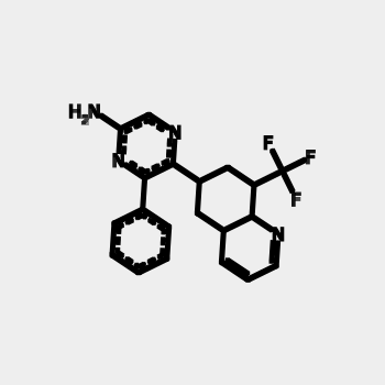 Nc1cnc(C2CC3C=CC=NC3C(C(F)(F)F)C2)c(-c2ccccc2)n1